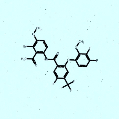 COc1ccc(NC(=O)c2cc(F)c(C(F)(F)F)cc2Oc2ccc(F)c(F)c2OC)c(C(C)=O)c1Br